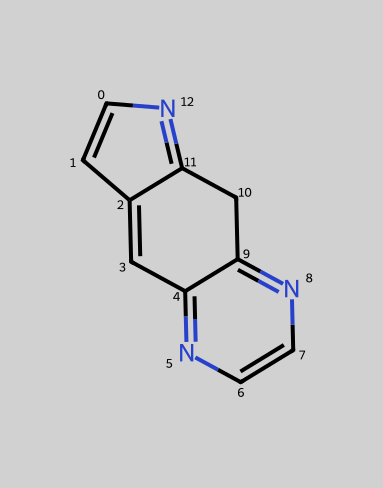 C1=CC2=Cc3nccnc3CC2=N1